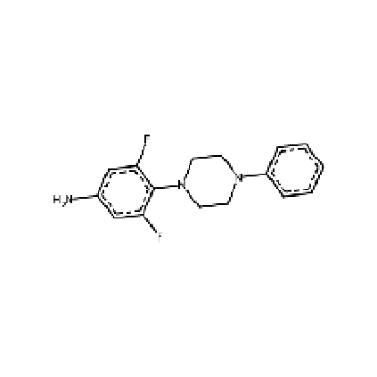 Nc1cc(F)c(N2CCN(c3ccccc3)CC2)c(F)c1